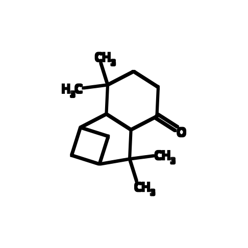 CC1(C)CCC(=O)C2C1C1CC(C1)C2(C)C